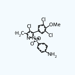 [CH2]c1nn(S(=O)(=O)c2ccc(N)cc2)c(-c2cc(Cl)c(OC)c(Cl)c2)c1Cl